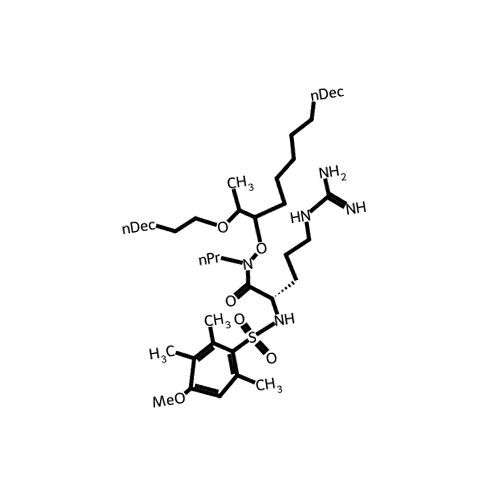 CCCCCCCCCCCCCCCC(ON(CCC)C(=O)[C@H](CCCNC(=N)N)NS(=O)(=O)c1c(C)cc(OC)c(C)c1C)C(C)OCCCCCCCCCCCC